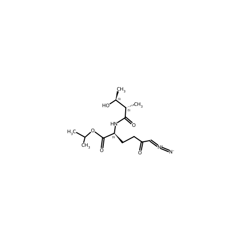 CC(C)OC(=O)[C@H](CCC(=O)C=[N+]=[N-])NC(=O)[C@@H](C)[C@H](C)O